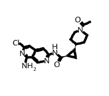 CC(=O)N1CCC([C@@H]2C[C@H]2C(=O)Nc2cc3cc(Cl)nc(N)c3cn2)CC1